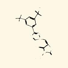 CN1C(=O)NC(=Cn2cnc(-c3cc(C(F)(F)F)cc(C(F)(F)F)c3)n2)C1=O